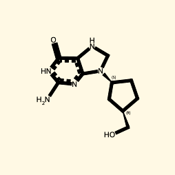 Nc1nc2c(c(=O)[nH]1)NCN2[C@H]1CC[C@@H](CO)C1